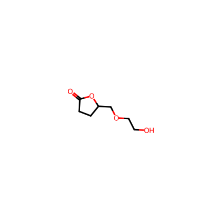 O=C1CCC(COCCO)O1